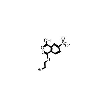 O=C(O)c1cc([N+](=O)[O-])ccc1C(=O)OCCBr